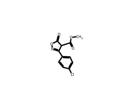 COC(=O)C1C(=O)ON=C1c1ccc(Cl)cc1